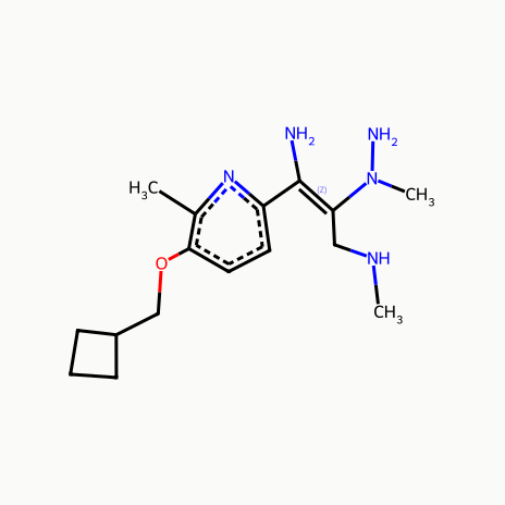 CNC/C(=C(/N)c1ccc(OCC2CCC2)c(C)n1)N(C)N